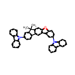 CC1(C)c2cc(-n3c4ccccc4c4ccccc43)ccc2-c2cc3c(cc21)oc1ccc(-n2c4ccccc4c4ccccc42)cc13